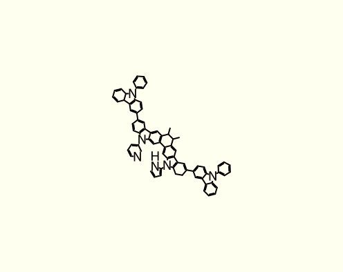 CC1c2cc3c4c(n(-c5ccc[nH]5)c3cc2-c2cc3c(cc2C1C)c1cc(-c2ccc5c(c2)C2C=CC=CC2N5c2ccccc2)ccc1n3-c1cccnc1)CCC(c1ccc2c(c1)c1ccccc1n2-c1ccccc1)=C4